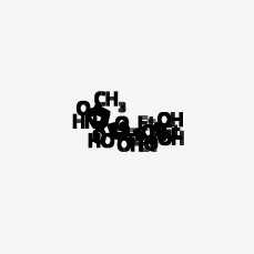 CCC(F)(C[C@H]1O[C@@H](C2C=C(C)C(=O)NC2=O)[C@H](O)[C@@H]1O)OP(=O)(O)C(O)(CC)CC